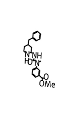 COC(=O)c1cccc(N(C)C(=O)NC2CC(Cc3ccccc3)CCN2)c1